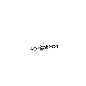 CN(C)c1ccc(/C=C/C2=[N+](C)c3cc4c(cc3C2(C)C)[N+](C)=C(/C=C/c2ccc(N(C)C)cc2)C4(C)C)cc1.[I-].[I-]